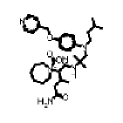 CC(C)CCN(CC(C)(C)NC(=O)C(C(C)CC(N)=O)[N+]1(C(=O)O)CCCCCC1)c1ccc(OCc2ccncc2)cc1